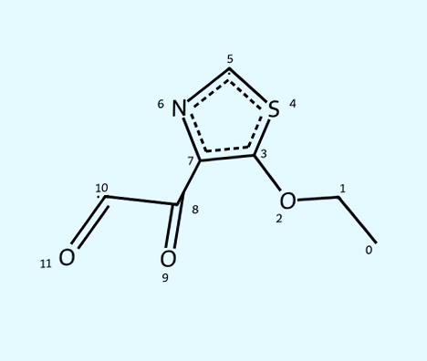 CCOc1s[c]nc1C(=O)[C]=O